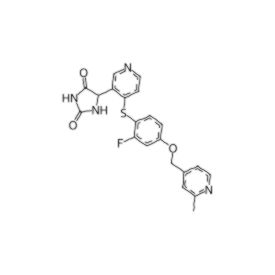 Cc1cc(COc2ccc(Sc3ccncc3C3NC(=O)NC3=O)c(F)c2)ccn1